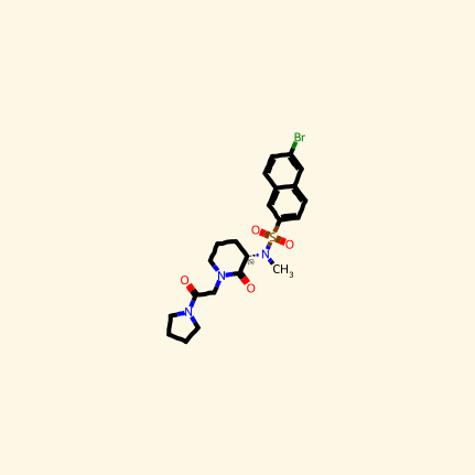 CN([C@H]1CCCN(CC(=O)N2CCCC2)C1=O)S(=O)(=O)c1ccc2cc(Br)ccc2c1